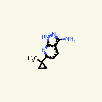 CC1(c2ccc3c(N)n[nH]c3n2)CC1